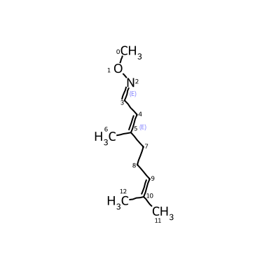 CO/N=C/C=C(\C)CCC=C(C)C